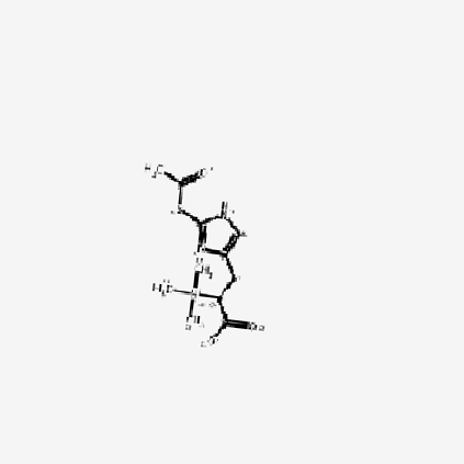 CC(=O)Sc1nc(C[C@@H](C(=O)[O-])[N+](C)(C)C)c[nH]1